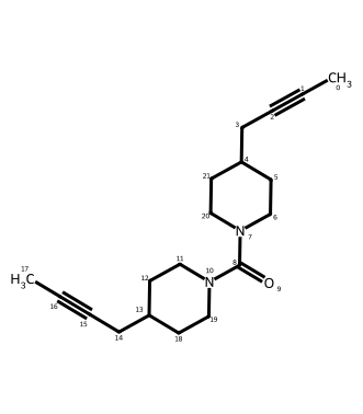 CC#CCC1CCN(C(=O)N2CCC(CC#CC)CC2)CC1